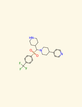 O=S(=O)(c1ccc(C(F)(F)F)cc1)C(C1CCNCC1)N1CCC(c2ccncc2)CC1